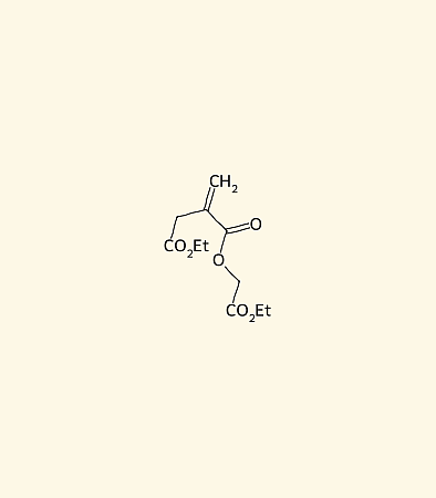 C=C(CC(=O)OCC)C(=O)OCC(=O)OCC